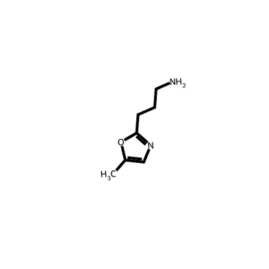 Cc1cnc(CCCN)o1